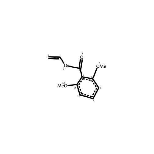 C=COC(=O)c1c(OC)cccc1OC